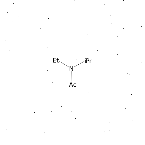 CCN(C(C)=O)C(C)C